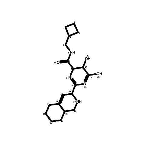 O=C(NCC1CCC1)C1N=C(C2C=C3CCCCC3CN2)N=C(O)C1O